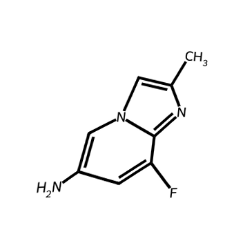 Cc1cn2cc(N)cc(F)c2n1